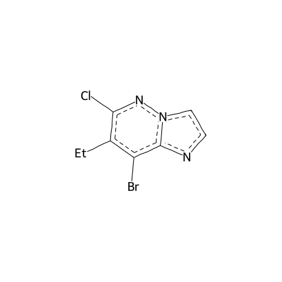 CCc1c(Cl)nn2ccnc2c1Br